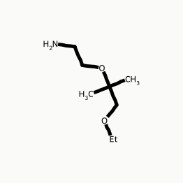 CCOCC(C)(C)OCCN